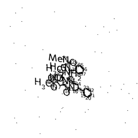 CC(N)C(=O)NC(CCS(C)(=O)=O)C(=O)N1CC(c2ccccc2)CC1C(=O)O.CNC(=O)N(C)Cc1ccccc1